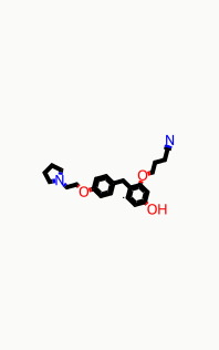 N#CCCCOc1cc(O)c[c]c1Cc1ccc(OCCN2CCCC2)cc1